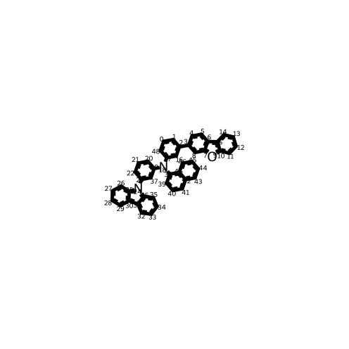 c1cc(-c2ccc3c(c2)oc2ccccc23)cc(N(c2cccc(-n3c4ccccc4c4ccccc43)c2)c2cccc3ccccc23)c1